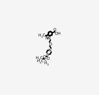 Cc1nn(CCOCCN2CCN(C(=O)OC(C)(C)C)CC2)c2cc(C(=O)O)ccc12